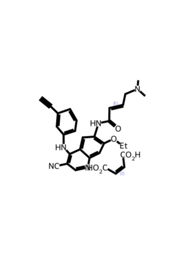 C#Cc1cccc(Nc2c(C#N)cnc3cc(OCC)c(NC(=O)/C=C/CN(C)C)cc23)c1.O=C(O)/C=C\C(=O)O